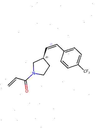 C=CC(=O)N1CC[C@H](/C=C\c2ccc(C(F)(F)F)cc2)C1